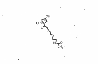 CC(=O)NCCOCCOCC(=O)N1C[C@H](O)C[C@H]1C